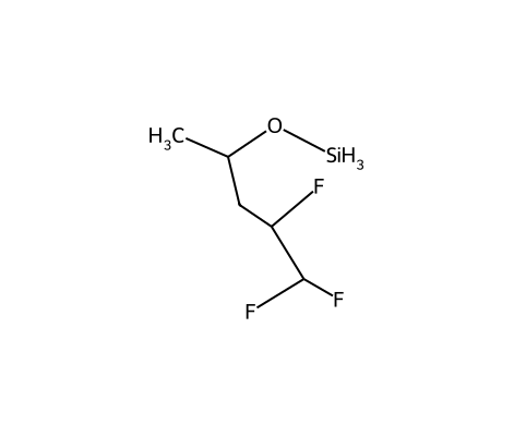 CC(CC(F)C(F)F)O[SiH3]